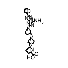 Nc1nc(N2CCC[C@@H](CN3CCN(c4cccc(C(=O)O)n4)CC3)C2)nc2nc(-c3ccco3)nn12